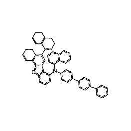 C1=CC2=C(CC1)CCC=C2c1cc2c(oc3cccc(N(c4ccc(-c5ccc(-c6ccccc6)cc5)cc4)c4cccc5ccccc45)c32)c2c1CCC=C2